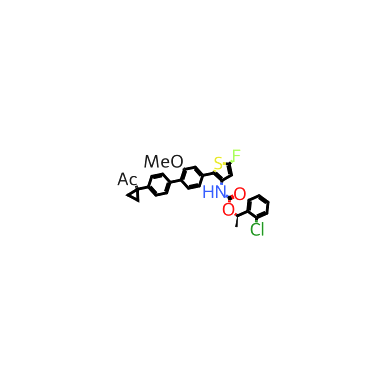 COc1cc(-c2sc(F)cc2NC(=O)O[C@H](C)c2ccccc2Cl)ccc1-c1ccc(C2(C(C)=O)CC2)cc1